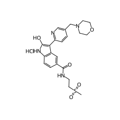 CS(=O)(=O)CCNC(=O)c1ccc2[nH]c(O)c(-c3ccc(CN4CCOCC4)cn3)c2c1.Cl